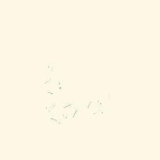 Cn1cc(-c2cc3c(-c4ccc(NSCC5COCCO5)cc4)ncnn3c2)cn1